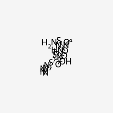 Nc1nc(/C(=N\OC2CC2)C(=O)N[C@@H]2C(=O)N3C(C(=O)O)=C(CSc4ccc5nnnn5n4)CS[C@H]23)cs1